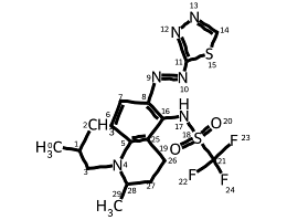 CC(C)CN1c2ccc(N=Nc3nncs3)c(NS(=O)(=O)C(F)(F)F)c2CCC1C